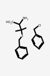 CC(C)(SCc1ccccc1)C(N)C(=O)O.ClCc1ccccc1